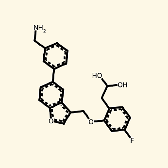 NCc1cccc(-c2ccc3occ(COc4cc(F)ccc4CC(O)O)c3c2)c1